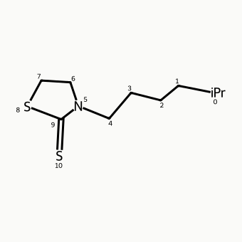 CC(C)CCCCN1CCSC1=S